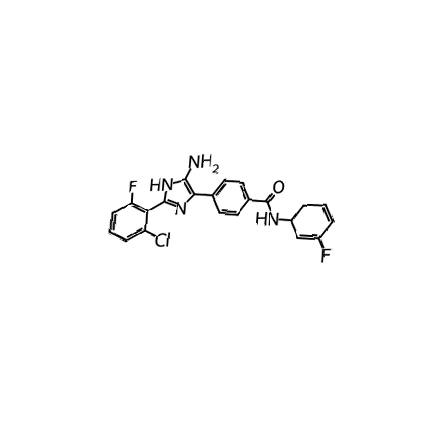 Nc1[nH]c(-c2c(F)cccc2Cl)nc1-c1ccc(C(=O)NC2C=C(F)C=CC2)cc1